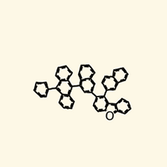 c1ccc(-c2c3ccccc3c(-c3cc(-c4ccc5oc6ccccc6c5c4-c4ccc5ccccc5c4)cc4ccccc34)c3ccccc23)cc1